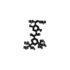 C/C(=C/C(=O)O)c1cc(F)c([AsH]C(=O)c2cc([Si](C)(C)C)cc([Si](C)(C)C)c2)cc1F